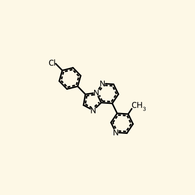 Cc1ccncc1-c1ccnn2c(-c3ccc(Cl)cc3)cnc12